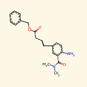 CN(C)C(=O)c1cc(CCCC(=O)OCc2ccccc2)ccc1N